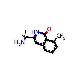 C[C@H](N)c1cc2cccc(C(F)(F)F)c2c(=O)[nH]1